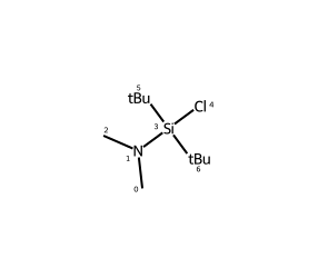 CN(C)[Si](Cl)(C(C)(C)C)C(C)(C)C